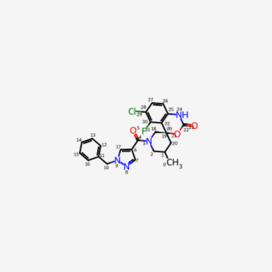 CC1CN(C(=O)c2cnn(Cc3ccccc3)c2)C[C@]2(C1)OC(=O)Nc1ccc(Cl)c(F)c12